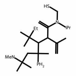 C=C(C)C(C(=C)N(CS)C(C)C)C(C(C)(C)CC)C(C)(P)CC(C)(C)NC